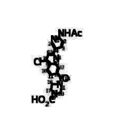 CC(=O)Nc1ccc(-c2cc(Cl)c3ccc(C(=O)N4CCN(C(=O)O)CC4)cc3n2)cn1